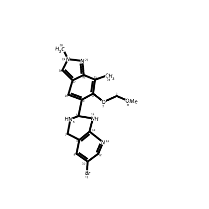 COCOc1c(C2NCc3cc(Br)cnc3N2)cc2cn(C)nc2c1C